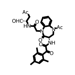 CC(=O)C[C@@H](C=O)NC(=O)CN1C(=O)[C@@H](NC(=O)C(=O)c2c(C)cc(C)cc2C)CN(C(C)=O)c2ccccc21